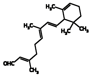 CC(C=CC1C(C)=CCCC1(C)C)=CCCC(C)=CC=O